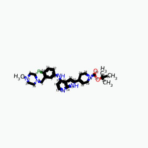 CN1CCN(Cc2cc(Nc3ccnc4[nH]c(C5=CCN(C(=O)OC(C)(C)C)CC5)cc34)ccc2F)CC1